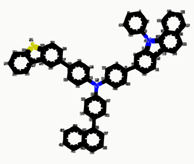 c1ccc(-n2c3cc(-c4ccc(N(c5ccc(-c6ccc7sc8ccccc8c7c6)cc5)c5ccc(-c6cccc7ccccc67)cc5)cc4)ccc3c3ccc4ccccc4c32)cc1